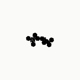 c1ccc(-c2nc(-c3ccccc3)nc(-n3c4ccccc4c4cc(-c5ccc6c(c5)-c5cccc7c5c(cc5c7c7ccccc7n5-c5ccccc5)S6)ccc43)n2)cc1